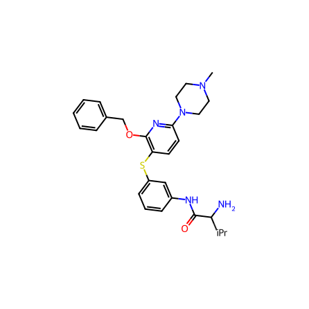 CC(C)C(N)C(=O)Nc1cccc(Sc2ccc(N3CCN(C)CC3)nc2OCc2ccccc2)c1